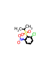 CC(C)S(=O)(=O)c1c(Cl)cccc1[N+](=O)[O-]